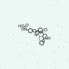 O=C(O)Nc1ccc(-c2c[nH]c(C(Cc3ccccc3)c3c(-c4cc(Cl)ccc4Cl)cc[nH]c3=O)n2)cc1